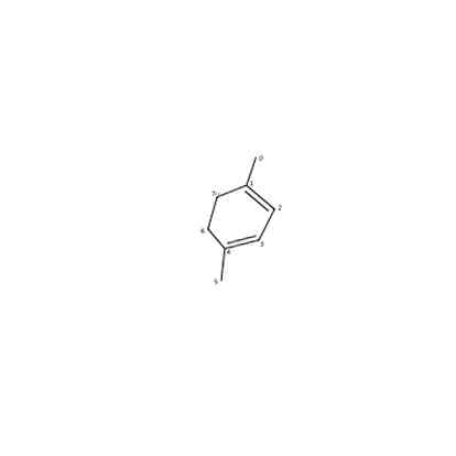 CC1=CC=C(C)C[C]1